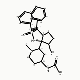 CCC(=O)N1CCC(O)C1(NS(=O)(=O)c1cccc2ccccc12)C1CC(NC(N)=O)CCN1C